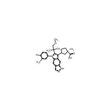 COCC(C)(C)c1c(C2CC[C@@](C)(C(=O)O)C2)c2cc3[nH]ncc3cc2n1-c1ccc(F)c(C)c1